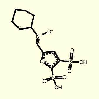 O=S(=O)(O)c1cc(C=[N+]([O-])C2CCCCC2)oc1S(=O)(=O)O